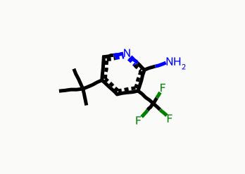 CC(C)(C)c1cnc(N)c(C(F)(F)F)c1